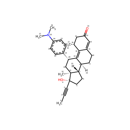 CC#C[C@]1(O)CC[C@H]2[C@@H]3CCC4=CC(=O)C[C@@H](C)C4=C3[C@@H](c3ccc(N(C)C)cc3)C[C@@]21C